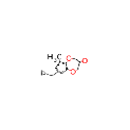 Cc1cc(CC2CC2)cc2c1OCC(=O)CO2